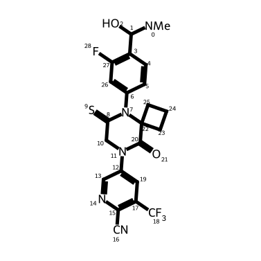 CNC(O)c1ccc(N2C(=S)CN(c3cnc(C#N)c(C(F)(F)F)c3)C(=O)C23CCC3)cc1F